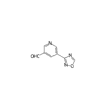 O=Cc1cncc(-c2ncon2)c1